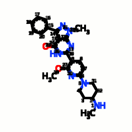 CNC1CCN(c2ccc(-c3nc4c(c(-c5ccccc5)nn4C)c(=O)[nH]3)c(OC)n2)CC1